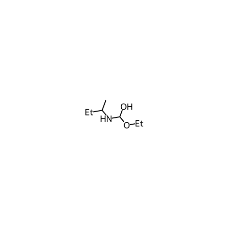 CCOC(O)NC(C)CC